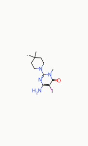 [CH2]C1(C)CCN(c2nc(N)c(I)c(=O)n2C)CC1